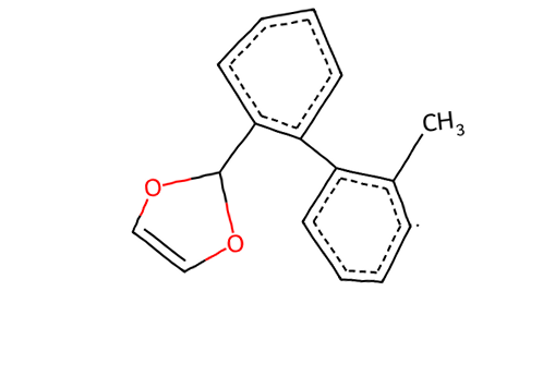 Cc1[c]cccc1-c1ccccc1C1OC=CO1